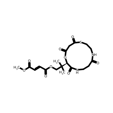 COC(=O)/C=C/C(=O)OCC(C)(C)[C@H]1OC(=O)CC(=O)SCCNC(=O)CCNC1=O